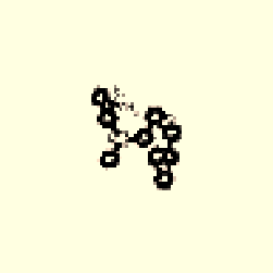 CC1(C)c2ccccc2-c2ccc(-c3nc(-c4ccccc4)nc(-c4cccc(-c5cccc6oc7ccc(-c8ccc9c%10c(cccc8%10)-c8ccccc8-9)cc7c56)c4)n3)cc21